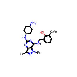 COc1cccc(CNc2nc(NC3CCC(N)CC3)nc3c(C(C)C)nn(C(C)C)c23)c1O